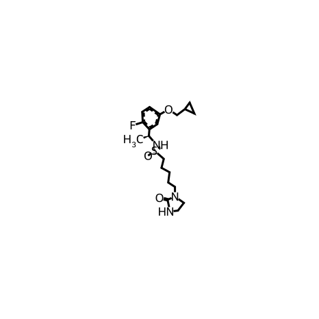 C[C@H](N[S+]([O-])CCCCCN1CCNC1=O)c1cc(OCC2CC2)ccc1F